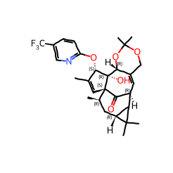 CC1=C[C@]23C(=O)[C@@H](C=C4COC(C)(C)O[C@H]4[C@]2(O)[C@H]1Oc1ccc(C(F)(F)F)cn1)C1[C@@H](C[C@H]3C)C1(C)C